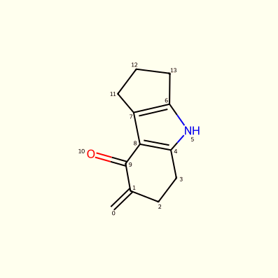 C=C1CCc2[nH]c3c(c2C1=O)CCC3